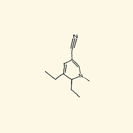 CCC1=CC(C#N)=CN(C)C1CC